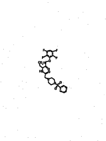 O=C(O)CC(NC(=O)CN1CCN(S(=O)(=O)c2ccccc2)CC1)C(=O)COc1c(F)c(F)cc(F)c1F